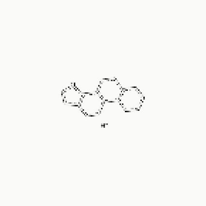 [H+].c1ccc2c(c1)ccc1c2ccc2ccoc21